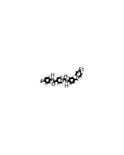 CCN1CCN(Cc2ccc(NC(=O)N3CCC(C(=O)Nc4ccc(F)cc4)CC3)cc2)CC1